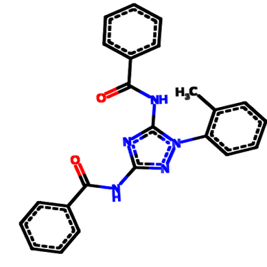 Cc1ccccc1-n1nc(NC(=O)c2ccccc2)nc1NC(=O)c1ccccc1